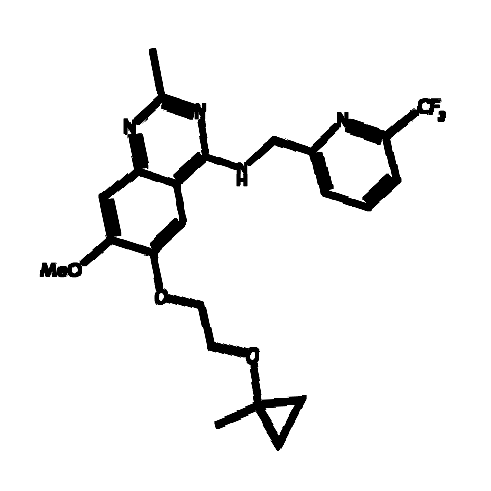 COc1cc2nc(C)nc(NCc3cccc(C(F)(F)F)n3)c2cc1OCCOC1(C)CC1